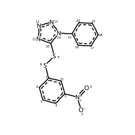 O=[N+]([O-])c1cccc(SSc2nnnn2-c2ccccc2)c1